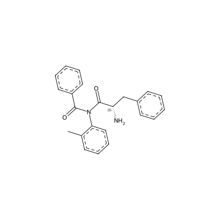 Cc1ccccc1N(C(=O)c1ccccc1)C(=O)[C@@H](N)Cc1ccccc1